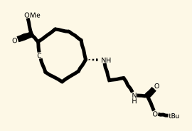 COC(=O)C1CCCC[C@@H](NCCNC(=O)OC(C)(C)C)CCC1